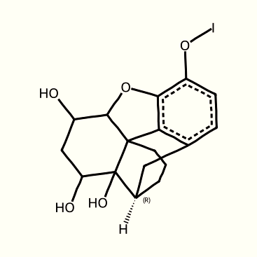 OC1CC(O)C2(O)[C@@H]3CCCC24c2c(ccc(OI)c2OC14)C3